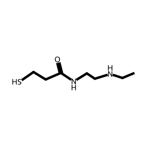 CCNCCNC(=O)CCS